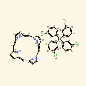 C1=Cc2cc3ccc(cc4nc(cc5ccc(cc1n2)[nH]5)C=C4)[nH]3.Clc1ccc[c]([Fe]([c]2cccc(Cl)c2)([c]2cccc(Cl)c2)[c]2cccc(Cl)c2)c1